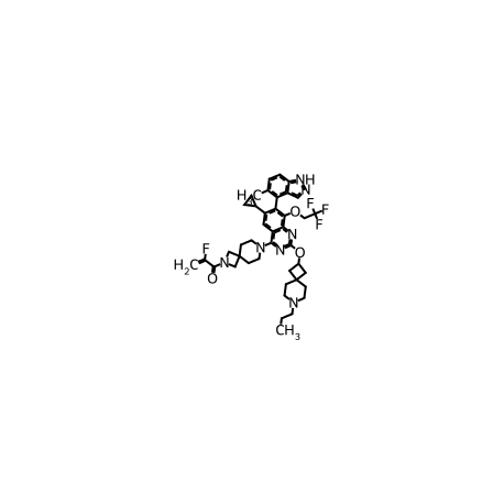 C=C(F)C(=O)N1CC2(CCN(c3nc(OC4CC5(CCN(CCC)CC5)C4)nc4c(OCC(F)(F)F)c(-c5c(C)ccc6[nH]ncc56)c(C5CC5)cc34)CC2)C1